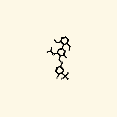 CCc1cccc(CC)c1-c1cc(OC(C)C)c(COc2ccc(F)c(C(F)(F)F)c2)c(C)n1